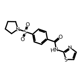 O=C(Nc1nccs1)c1ccc(S(=O)(=O)N2CCCC2)cc1